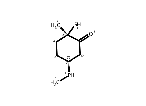 CP[C@H]1CC[C@](C)(S)C(=O)C1